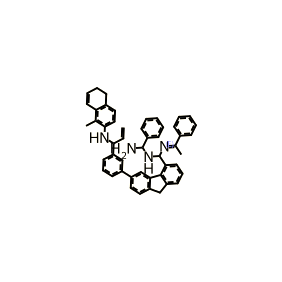 C=CC(Nc1ccc2c(c1C)C=CCC2)c1cccc(-c2ccc3c(c2)-c2c(cccc2C(/N=C(\C)c2ccccc2)NC(N)c2ccccc2)C3)c1